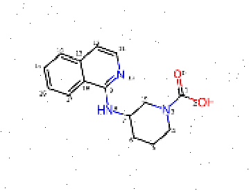 O=C(O)N1CCCC(Nc2nccc3ccccc23)C1